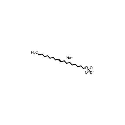 CCCCCCCC/C=C/CCCCCCCCOS(=O)(=O)[O-].[Na+]